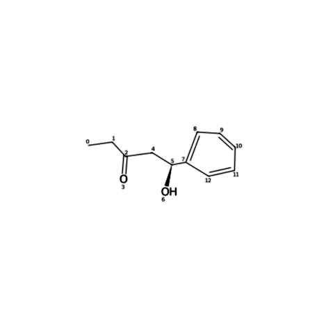 CCC(=O)C[C@H](O)c1ccccc1